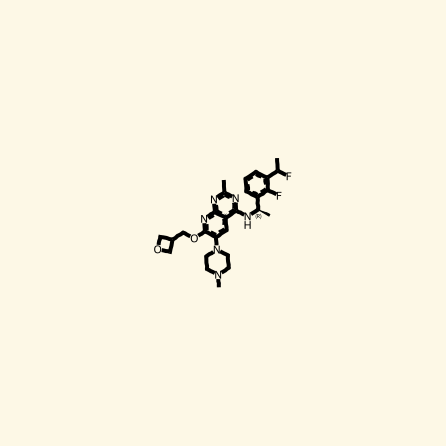 Cc1nc(N[C@H](C)c2cccc(C(C)F)c2F)c2cc(N3CCN(C)CC3)c(OCC3COC3)nc2n1